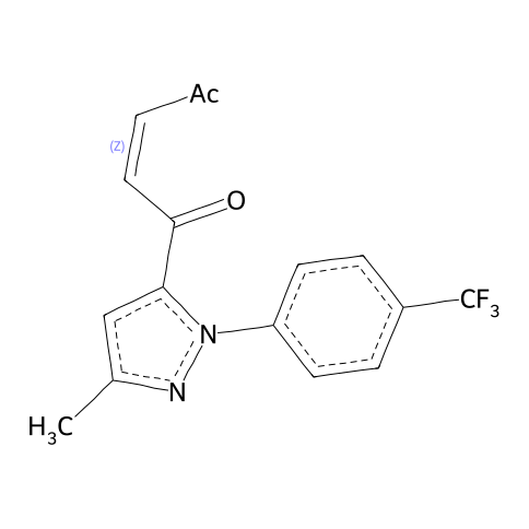 CC(=O)/C=C\C(=O)c1cc(C)nn1-c1ccc(C(F)(F)F)cc1